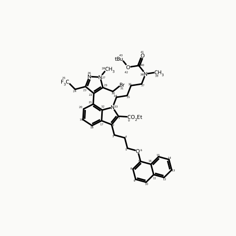 CCOC(=O)c1c(CCCOc2cccc3ccccc23)c2cccc(-c3c(CC(F)(F)F)nn(C)c3CBr)c2n1CCCCN(C)C(=O)OC(C)(C)C